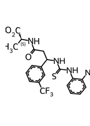 C[C@H](NC(=O)CC(NC(=S)Nc1ccccc1N)c1cccc(C(F)(F)F)c1)C(=O)O